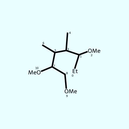 CCC(OC)C(C)C(C)C(COC)OC